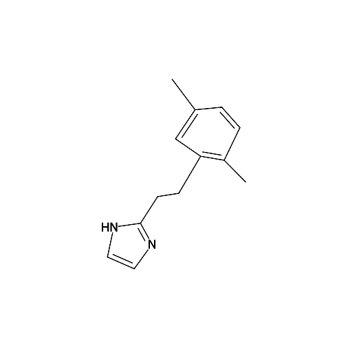 Cc1ccc(C)c(CCc2ncc[nH]2)c1